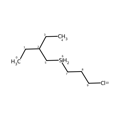 CCC(CC)C[SiH2]CCCCl